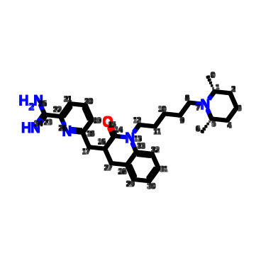 C[C@@H]1CCC[C@H](C)N1CCCCCN1C(=O)C(Cc2cccc(C(=N)N)n2)Cc2ccccc21